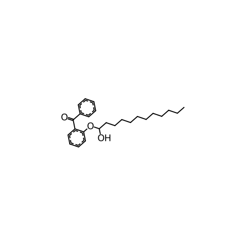 CCCCCCCCCCCC(O)Oc1ccccc1C(=O)c1ccccc1